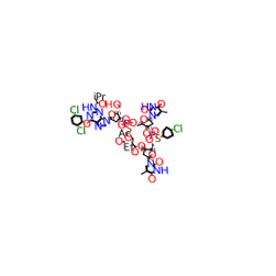 CCC(=O)OCSP(=O)(OC[C@H]1O[C@@H](n2cc(C)c(=O)[nH]c2=O)C[C@H]1OP(=O)(OC[C@H]1O[C@@H](n2cc(C)c(=O)[nH]c2=O)C[C@H]1OC(=O)CCC(C)=O)Sc1ccc(Cl)cc1)O[C@@H]1C[C@H](n2cnc3c(Oc4cc(Cl)ccc4Cl)nc(NC(=O)C(C)C)nc32)O[C@@H]1CO